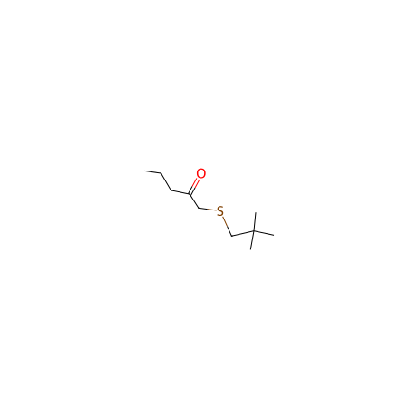 CCCC(=O)CSCC(C)(C)C